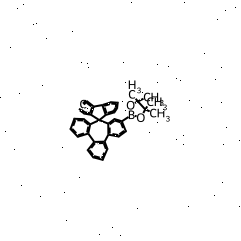 CC1(C)OB(c2ccc3c(c2)C2(c4ccccc4-c4ccccc4-3)c3ccccc3-c3ccccc32)OC1(C)C